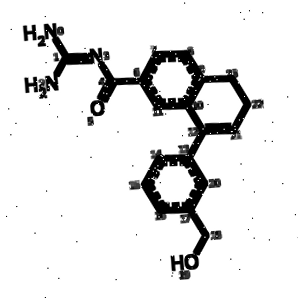 NC(N)=NC(=O)c1ccc2c(c1)C(c1cccc(CO)c1)=CCC2